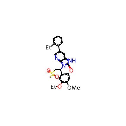 CCOc1cc(C(CS(C)(=O)=O)n2c(=O)[nH]c3cc(-c4ccccc4CC)cnc32)ccc1OC